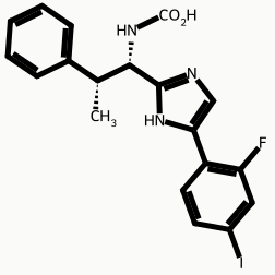 C[C@H](c1ccccc1)[C@H](NC(=O)O)c1ncc(-c2ccc(I)cc2F)[nH]1